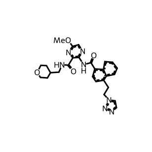 COc1cnc(NC(=O)c2ccc(CCn3ccnn3)c3ccccc23)c(C(=O)NCC2CCOCC2)n1